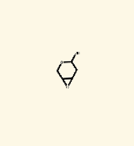 OC1CC2OC2CO1